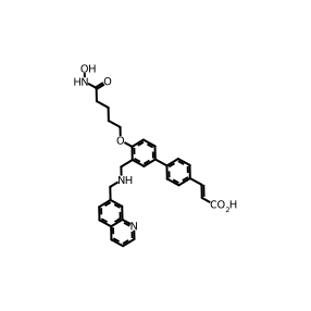 O=C(O)C=Cc1ccc(-c2ccc(OCCCCC(=O)NO)c(CNCc3ccc4cccnc4c3)c2)cc1